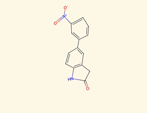 O=C1Cc2cc(-c3cccc([N+](=O)[O-])c3)ccc2N1